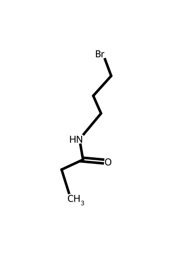 CCC(=O)NCCCBr